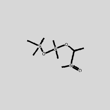 CC(O[Si](C)(C)O[Si](C)(C)C)[Si](C)=O